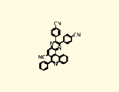 N#Cc1ccc(-c2nc3cc(C#N)c4c(-c5ccccc5)nc5ccccc5c4c3nc2-c2ccc(C#N)cc2)cc1